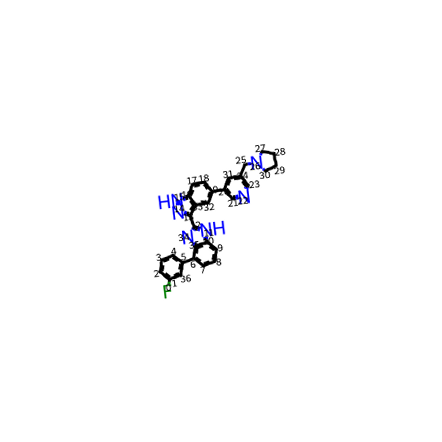 Fc1cccc(-c2cccc3[nH]c(-c4n[nH]c5ccc(-c6cncc(CN7CCCC7)c6)cc45)nc23)c1